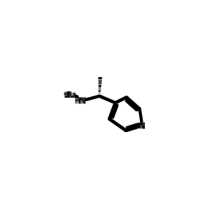 C[C@@H](NC(C)(C)C)c1ccncc1